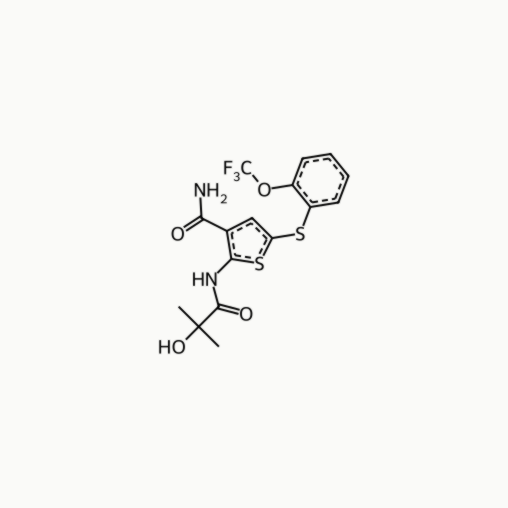 CC(C)(O)C(=O)Nc1sc(Sc2ccccc2OC(F)(F)F)cc1C(N)=O